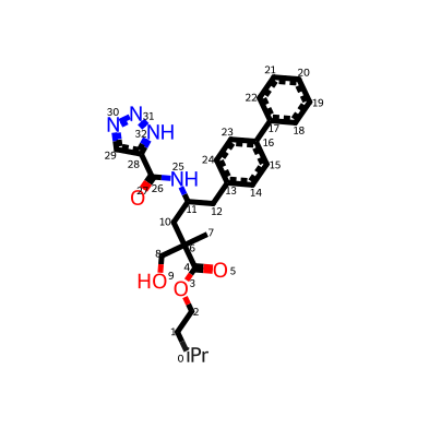 CC(C)CCOC(=O)C(C)(CO)CC(Cc1ccc(-c2ccccc2)cc1)NC(=O)c1cnn[nH]1